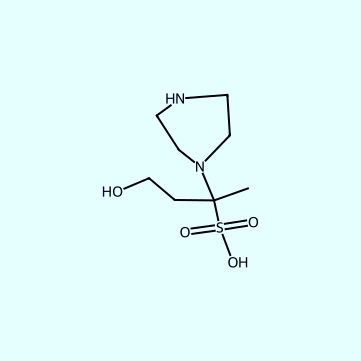 CC(CCO)(N1CCNCC1)S(=O)(=O)O